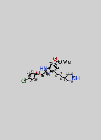 COC(=O)c1cc(CCCC2CCNCC2)c2nc(COc3ccc(Cl)cc3)[nH]c2c1